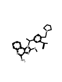 C=C(C)c1cc(C(C)n2c(SC)nc3c(N)nc4ccccc4c32)ccc1CN1CCCC1